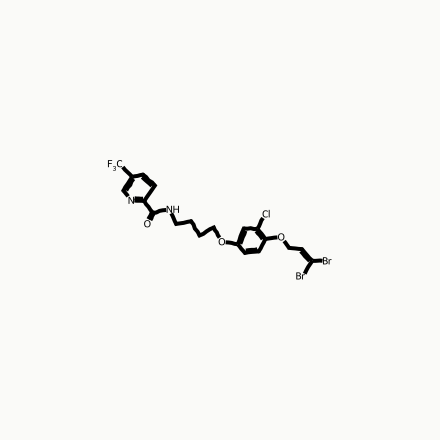 O=C(NCCCCOc1ccc(OCC=C(Br)Br)c(Cl)c1)c1ccc(C(F)(F)F)cn1